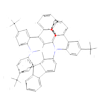 CC(C)(C)c1ccc(N2B3c4c(ccc5c4C(C)(C)c4ccccc4-5)N(c4ccc(C(C)(C)C)cc4-c4ccccc4)c4cc5ccccc5c(c43)-c3cc(C(C)(C)C)ccc32)cc1